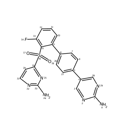 Nc1ncc(-c2ccc(-c3cccc(F)c3S(=O)(=O)c3ccnc(N)n3)cc2)cn1